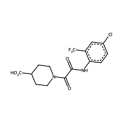 O=C(Nc1ccc(Cl)cc1C(F)(F)F)C(=O)N1CCC(C(=O)O)CC1